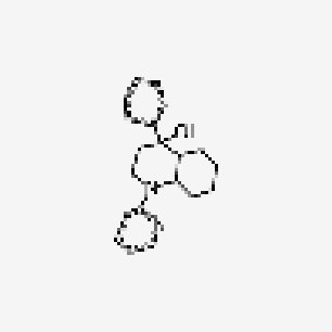 OC1(c2ccccc2)CCN(c2ccccn2)C2CCCCC21